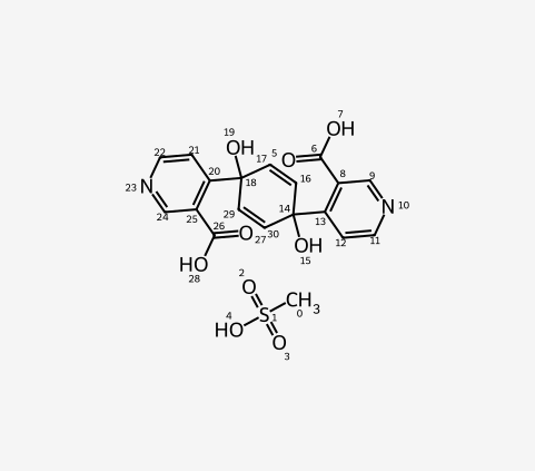 CS(=O)(=O)O.O=C(O)c1cnccc1C1(O)C=CC(O)(c2ccncc2C(=O)O)C=C1